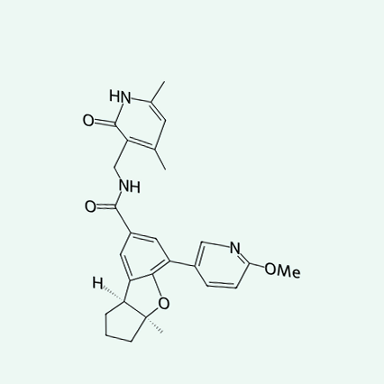 COc1ccc(-c2cc(C(=O)NCc3c(C)cc(C)[nH]c3=O)cc3c2O[C@@]2(C)CCC[C@@H]32)cn1